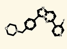 Fc1cnccc1-c1ccc2ncc(-c3ccc(CN4CCOCC4)cc3)n2n1